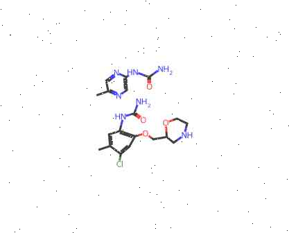 Cc1cc(NC(N)=O)c(OCC2CNCCO2)cc1Cl.Cc1cnc(NC(N)=O)cn1